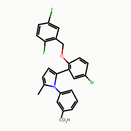 Cc1ccc(-c2cc(Br)ccc2OCc2cc(F)ccc2F)n1-c1cccc(C(=O)O)c1